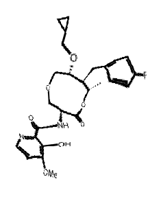 COc1ccnc(C(=O)N[C@H]2COC[C@H](OCC3CC3)[C@@H](Cc3ccc(F)cc3)[C@H](C)OC2=O)c1O